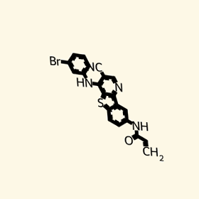 C=CC(=O)Nc1ccc2sc3c(Nc4cccc(Br)c4)c(C#N)cnc3c2c1